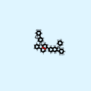 c1ccc(-c2ccccc2N(c2ccc(-c3ccc4cc5c6ccccc6n(-c6ccccc6)c5cc4c3)cc2)c2ccc3c(c2)oc2ccccc23)cc1